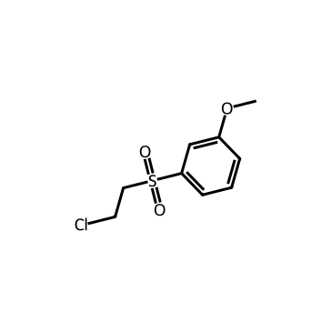 COc1cccc(S(=O)(=O)CCCl)c1